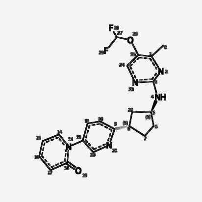 Cc1nc(N[C@H]2CC[C@H](c3ccc(-n4ccccc4=O)cn3)C2)ncc1OC(F)F